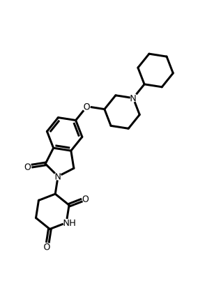 O=C1CCC(N2Cc3cc(OC4CCCN(C5CCCCC5)C4)ccc3C2=O)C(=O)N1